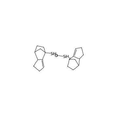 C1=C2C(CC1)C1CCC2([SiH2]O[SiH2]C23CCC(C2)C2CCC=C23)C1